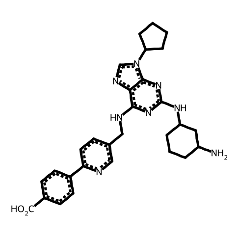 NC1CCCC(Nc2nc(NCc3ccc(-c4ccc(C(=O)O)cc4)nc3)c3ncn(C4CCCC4)c3n2)C1